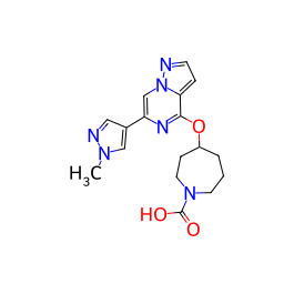 Cn1cc(-c2cn3nccc3c(OC3CCCN(C(=O)O)CC3)n2)cn1